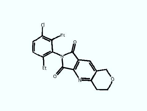 CCc1ccc(Cl)c(CC)c1N1C(=O)c2cc3c(nc2C1=O)CCOC3